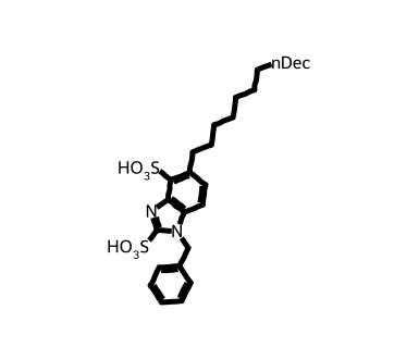 CCCCCCCCCCCCCCCCCc1ccc2c(nc(S(=O)(=O)O)n2Cc2ccccc2)c1S(=O)(=O)O